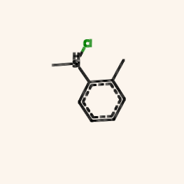 Cc1ccccc1[SiH](C)Cl